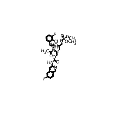 COP(=O)(OC)OCC(O)C[C@@H](COC(=O)Nc1cc2cc(F)ccc2cn1)N(NCc1cccc(F)c1Cl)C(C)=O